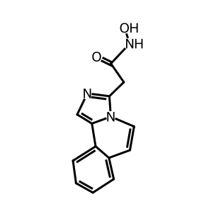 O=C(Cc1ncc2c3ccccc3ccn12)NO